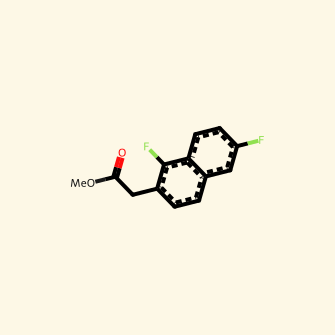 COC(=O)Cc1ccc2cc(F)ccc2c1F